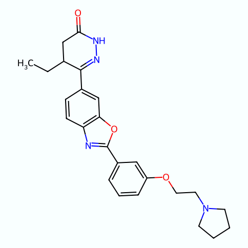 CCC1CC(=O)NN=C1c1ccc2nc(-c3cccc(OCCN4CCCC4)c3)oc2c1